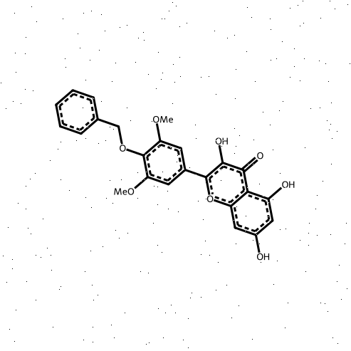 COc1cc(-c2oc3cc(O)cc(O)c3c(=O)c2O)cc(OC)c1OCc1ccccc1